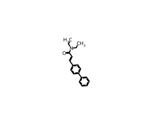 CCN(CC)C(=O)/C=C/c1ccc(-c2ccccc2)cc1